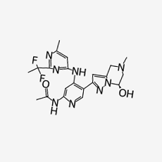 CC(=O)Nc1cc(Nc2cc(C)nc(C(C)(F)F)n2)c(-c2cc3n(n2)[C@H](O)CN(C)C3)cn1